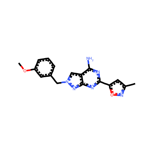 COc1cccc(Cn2cc3c(N)nc(-c4cc(C)no4)nc3n2)c1